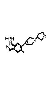 Cc1cc2cnn(PI)c2cc1C1C2CN(C3CCOC3)CC21